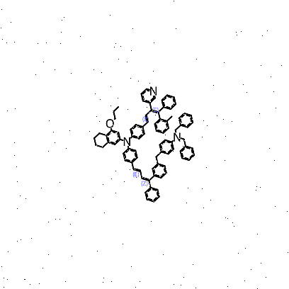 CCCOc1cc(N(c2ccc(/C=C/C=C(/c3ccccc3)c3cccc(Cc4ccc(N(Cc5ccccc5)Cc5ccccc5)cc4)c3)cc2)c2ccc(/C=C/C(=C(/c3ccccc3)c3ccccc3C)c3cccnc3)cc2)cc2c1CCCC2